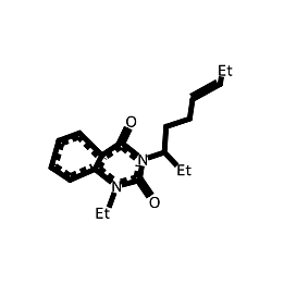 CCC=CCCC(CC)n1c(=O)c2ccccc2n(CC)c1=O